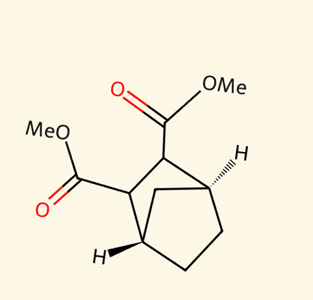 COC(=O)C1C(C(=O)OC)[C@H]2CC[C@H]1C2